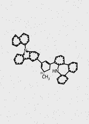 C[C@@H]1C=C(c2ccc3c(c2)c2ccccc2n3-c2cccc3ccccc23)C=C(c2cccc3c2Nc2ccccc2-c2ccccc2-3)C1